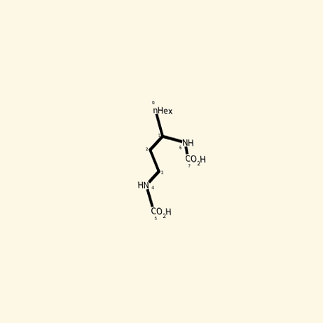 CCCCCCC(CCNC(=O)O)NC(=O)O